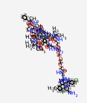 CC[C@H](C)[C@@H]([C@@H](CC(=O)N1CCC[C@H]1[C@H](OC)[C@@H](C)C(=O)N[C@H](C)[C@@H](O)c1ccccc1)OC)N(C)C(=O)[C@@H](NC(=O)[C@H](C(C)C)N(C)C(=O)OCc1ccc(NC(=O)[C@H](CCCNC(N)=O)NC(=O)[C@@H](NC(=O)CCOCCOCCOCCOCCC(=O)NCCNc2ncc(-c3cc(C)cc(F)c3)c(N3CCC(N)CC3)c2-c2nc3ccc(Cl)cc3[nH]2)C(C)C)cc1C(=O)NCCN)C(C)C